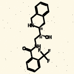 O=C(NC[C@@H](O)[C@@H]1Cc2ccccc2CN1)c1ccccc1C(F)(F)F